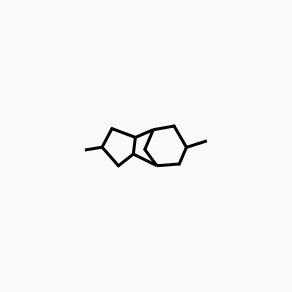 CC1CC2CC(C1)C1CC(C)CC21